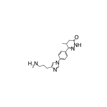 CC1CC(=O)NN=C1c1ccc(-n2cnc(CCCN)c2)cc1